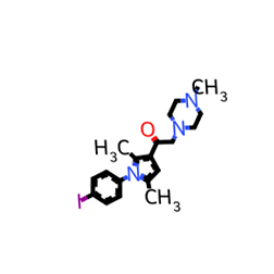 Cc1cc(C(=O)CN2CCN(C)CC2)c(C)n1-c1ccc(I)cc1